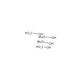 CC(C)COO.CC(C)COO.O=C(O)O.O=C(O)O